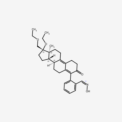 CCOC[C@]1(OCC)CC[C@H]2[C@@H]3CCC4=C(c5ccccc5/C=N\O)C(=O)CCC4=C3CC[C@@]21C